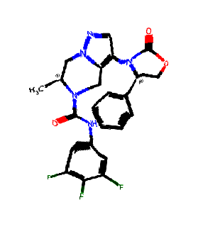 C[C@H]1Cn2ncc(N3C(=O)OC[C@H]3c3ccccc3)c2CN1C(=O)Nc1cc(F)c(F)c(F)c1